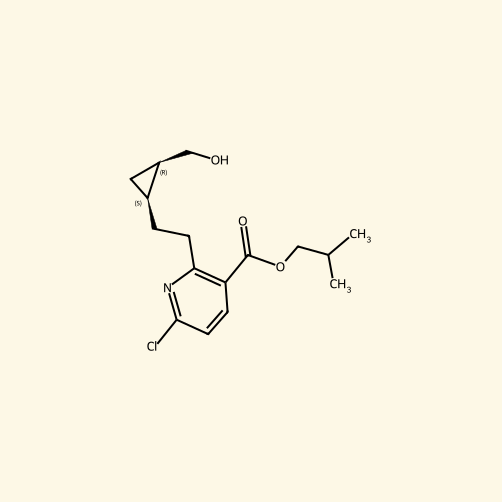 CC(C)COC(=O)c1ccc(Cl)nc1CC[C@H]1C[C@H]1CO